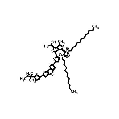 CCCCCCCCCCCCS(=O)(=O)C(=c1sc(C)c2c(=C(S)S)sc(-c3ccc(-c4cc5sc6cc(-c7ccc(C(C)(C)CC)s7)sc6c5s4)s3)c12)S(=O)(=O)CCCCCCCCCCCC